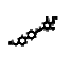 CCC(C)CC1CCC(C2CCC(C#Cc3cc(F)c(SC#N)c(F)c3)CC2)CC1